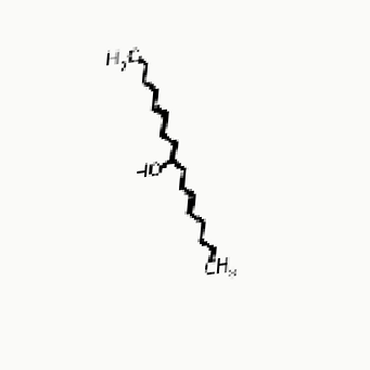 CCCCC=CCCC(O)CCC=CCCCC